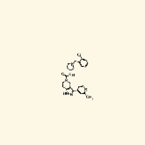 Cc1cc(-c2n[nH]c3c2CN(C(=O)N[C@@H]2CCN(Cc4ccccc4Cl)C2)CC3)ccn1